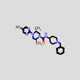 C[C@@H]1CN(C(=O)NC2CCN(Cc3ccccc3)CC2)[C@@H](C)CN1c1ncc(C#N)cn1